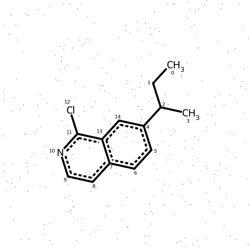 CCC(C)c1ccc2ccnc(Cl)c2c1